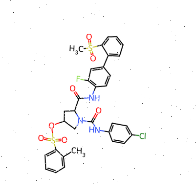 Cc1ccccc1S(=O)(=O)OC1CC(C(=O)Nc2ccc(-c3ccccc3S(C)(=O)=O)cc2F)N(C(=O)Nc2ccc(Cl)cc2)C1